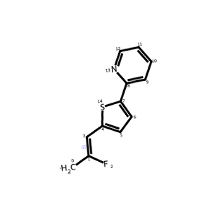 [CH2]/C(F)=C/c1ccc(-c2ccccn2)s1